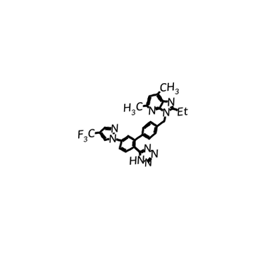 CCc1nc2c(C)cc(C)nc2n1Cc1ccc(-c2cc(-n3cc(C(F)(F)F)cn3)ccc2-c2nnn[nH]2)cc1